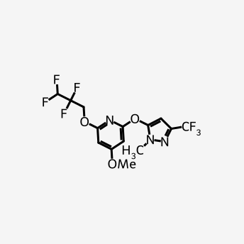 COc1cc(OCC(F)(F)C(F)F)nc(Oc2cc(C(F)(F)F)nn2C)c1